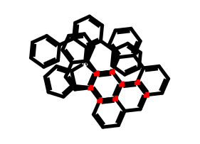 c1ccc(-c2cccc(-c3ccccc3)c2-n2c3ccccc3c3ccc(-c4ccccc4-c4ccccc4N(c4cccc5ccccc45)c4cccc5ccccc45)cc32)cc1